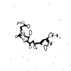 Cc1cc(C(=O)CC(=O)C2SC(=S)N(CC(=O)O)C2=O)on1